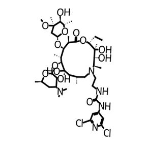 CC[C@H]1OC(=O)[C@H](C)[C@H](O[C@@H]2C[C@@](C)(OC)[C@@H](O)[C@H](C)O2)[C@@H](C)[C@H](O[C@@H]2O[C@H](C)C[C@H](N(C)C)[C@H]2O)[C@](C)(O)C[C@@H](C)CN(CCNC(=O)Nc2cc(Cl)nc(Cl)c2)[C@H](C)[C@@H](O)[C@]1(C)O